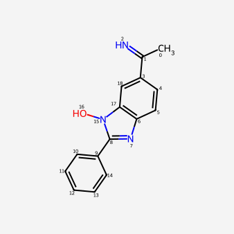 CC(=N)c1ccc2nc(-c3ccccc3)n(O)c2c1